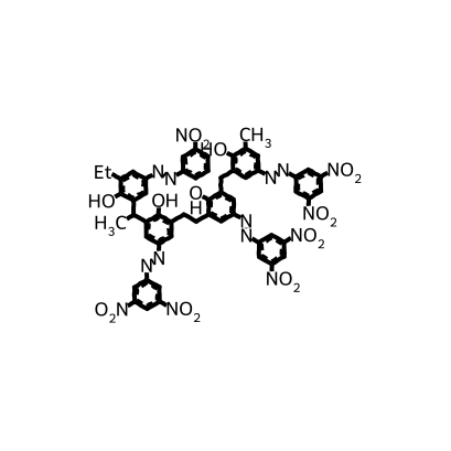 CCc1cc(N=Nc2cccc([N+](=O)[O-])c2)cc(C(C)c2cc(N=Nc3cc([N+](=O)[O-])cc([N+](=O)[O-])c3)cc(CCc3cc(N=Nc4cc([N+](=O)[O-])cc([N+](=O)[O-])c4)cc(Cc4cc(N=Nc5cc([N+](=O)[O-])cc([N+](=O)[O-])c5)cc(C)c4O)c3O)c2O)c1O